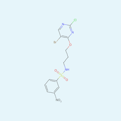 O=[N+]([O-])c1cccc(S(=O)(=O)NCCCOc2nc(Cl)ncc2Br)c1